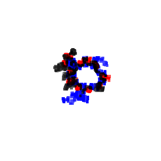 CC[C@H](C)[C@@H]1NC(=O)[C@@H](CCCNC(=N)N)NC(=O)[C@H](CC(C)C)NC(=O)[C@H]([C@H](O)C(C)C)NC(=O)[C@@H](NC(=O)[C@@H](CC(C)(C)C)NC(=O)[C@@H](CC(C)(C)C)NC(=O)OCc2ccccc2)[C@@H](c2ccccc2)NC(=O)[C@H](CO)NC(=O)[C@H](CC(N)=O)NC(=O)CNC(=O)[C@H]([C@H](C)O)NC1=O